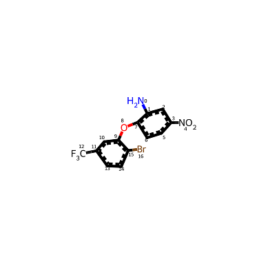 Nc1cc([N+](=O)[O-])ccc1Oc1cc(C(F)(F)F)ccc1Br